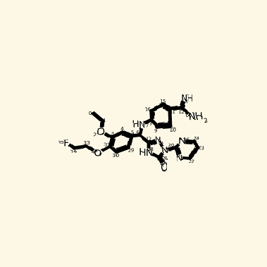 CCOc1cc(C(Nc2ccc(C(=N)N)cc2)c2nn(-c3ncccn3)c(=O)[nH]2)ccc1OCCF